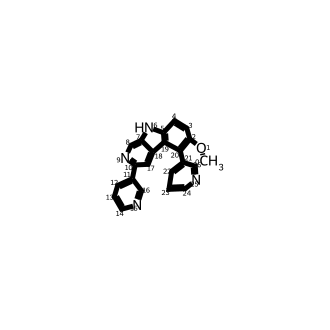 COc1ccc2[nH]c3cnc(-c4cccnc4)cc3c2c1-c1cccnc1